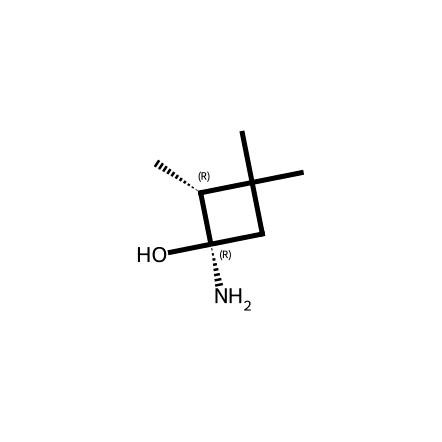 C[C@@H]1C(C)(C)C[C@@]1(N)O